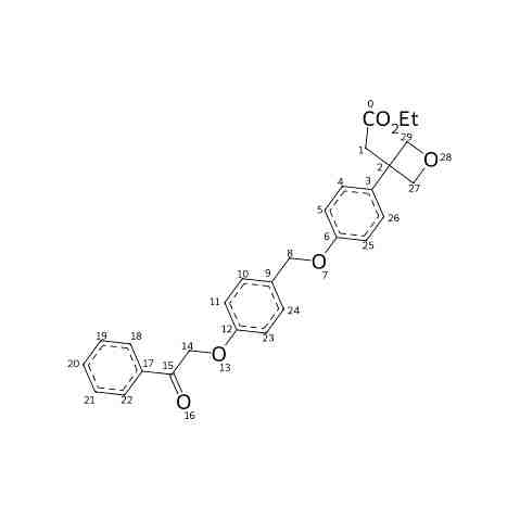 CCOC(=O)CC1(c2ccc(OCc3ccc(OCC(=O)c4ccccc4)cc3)cc2)COC1